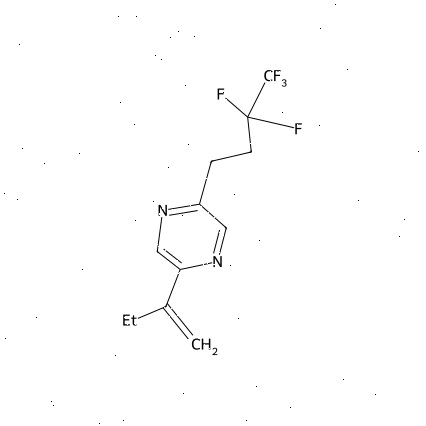 C=C(CC)c1cnc(CCC(F)(F)C(F)(F)F)cn1